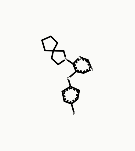 Fc1ccc(Oc2cncnc2N2CCC3(CCCC3)C2)cc1